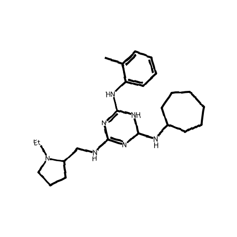 CCN1CCCC1CNC1=NC(NC2CCCCCC2)NC(Nc2ccccc2C)=N1